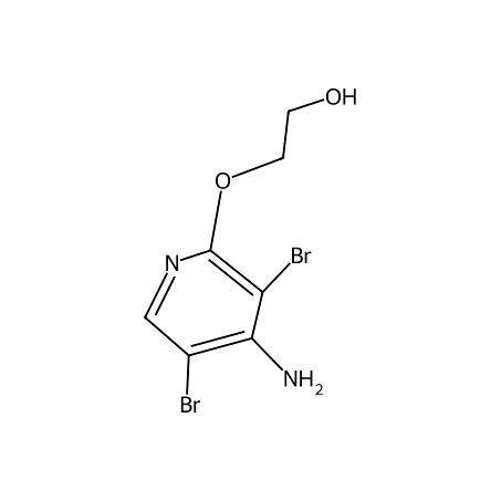 Nc1c(Br)cnc(OCCO)c1Br